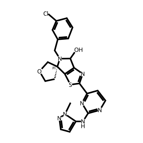 Cn1nccc1Nc1nccc(-c2nc3c(s2)[C@]2(CCOC2)N(Cc2cccc(Cl)c2)C3O)n1